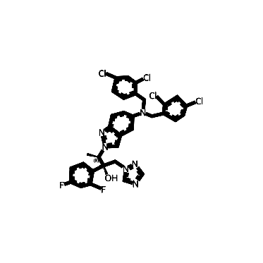 C[C@@H](n1cc2cc(N(Cc3ccc(Cl)cc3Cl)Cc3ccc(Cl)cc3Cl)ccc2n1)[C@](O)(Cn1cncn1)c1ccc(F)cc1F